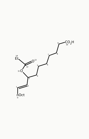 CCCCCCCCC=CC(CCCCCCC(=O)O)OC(=O)CC